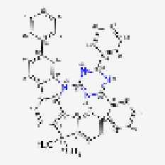 CC1(C)c2ccccc2-c2c1ccc1c3ccc(-c4ccccc4)cc3n(-c3nc(-c4ccccc4)nc(-c4ccccc4)n3)c21